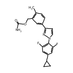 Cc1ccc(-c2ccn(-c3c(F)cc(C4CC4)cc3F)n2)cc1COC(N)=O